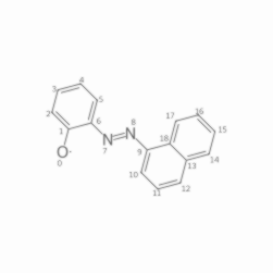 [O]c1ccccc1/N=N/c1cccc2ccccc12